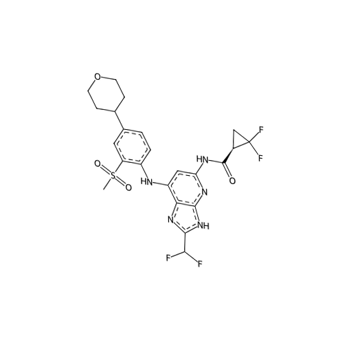 CS(=O)(=O)c1cc(C2CCOCC2)ccc1Nc1cc(NC(=O)[C@H]2CC2(F)F)nc2[nH]c(C(F)F)nc12